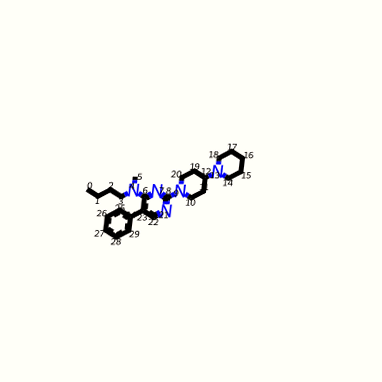 CCCCN(C)c1nc(N2CCC(N3CCCCC3)CC2)ncc1-c1ccccc1